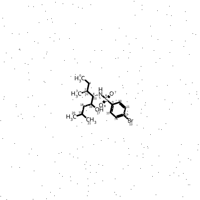 CC[C@H](C)[C@H](NS(=O)(=O)c1ccc(Br)cc1)C(O)CC(C)C